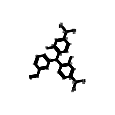 C=Cc1cccc(C(c2ccc(N(CC)CC)cc2C)c2ccc(N(CC)CC)cc2C)c1